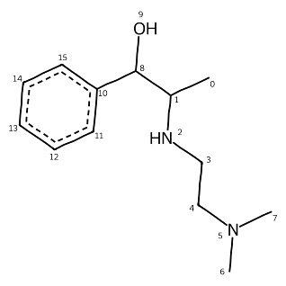 CC(NCCN(C)C)C(O)c1ccccc1